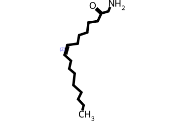 CCCCCCCC/C=C\CCCCCC(=O)CN